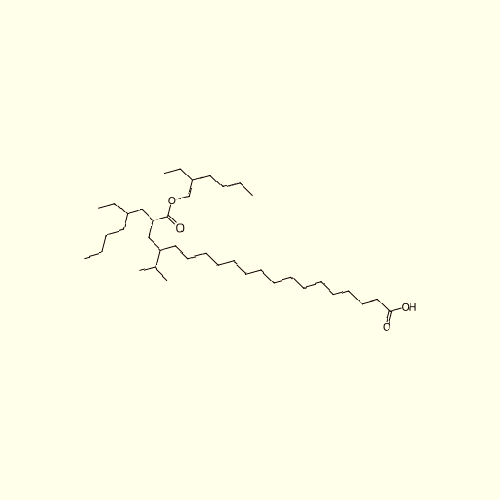 CCCCC(CC)COC(=O)C(CC(CC)CCCC)CC(CCCCCCCCCCCCCCCC(=O)O)C(C)C